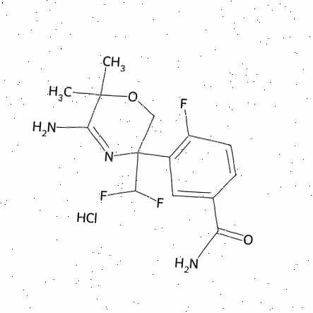 CC1(C)OCC(c2cc(C(N)=O)ccc2F)(C(F)F)N=C1N.Cl